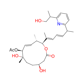 CC(=O)O[C@H]1/C=C/[C@H](C)[C@@H](/C(C)=C/C=C/C(C)c2cccc(C(C)CO)n2)OC(=O)C[C@@H](O)CC[C@]1(C)O